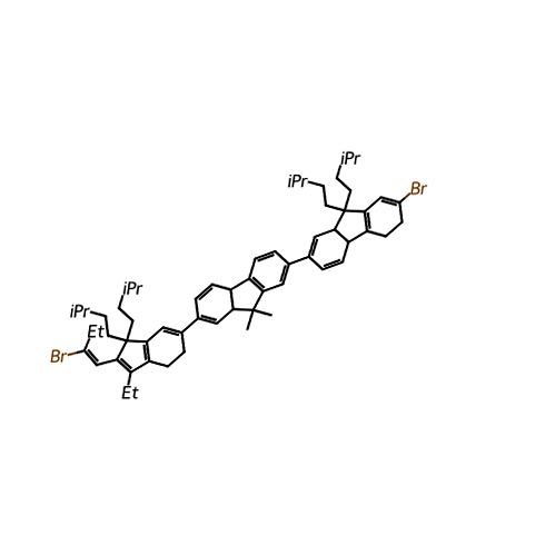 CCC1=C(/C=C(/Br)CC)C(CCC(C)C)(CCC(C)C)C2=C1CCC(C1=CC3C(C=C1)c1ccc(C4=CC5C(C=C4)C4=C(C=C(Br)CC4)C5(CCC(C)C)CCC(C)C)cc1C3(C)C)=C2